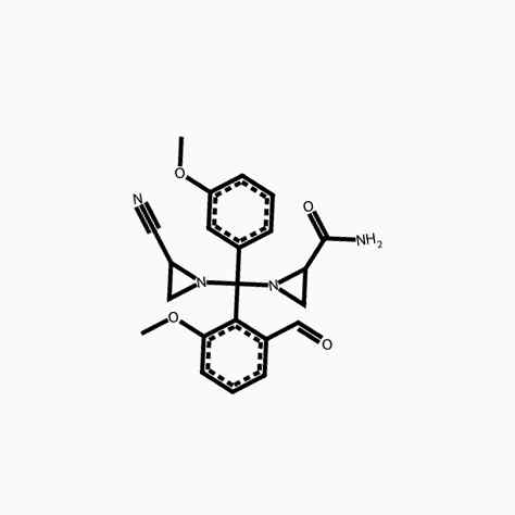 COc1cccc(C(c2c(C=O)cccc2OC)(N2CC2C#N)N2CC2C(N)=O)c1